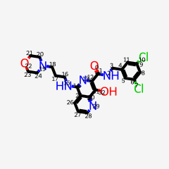 O=C(NCc1cc(Cl)cc(Cl)c1)c1nc(NCCCN2CCOCC2)c2cccnc2c1O